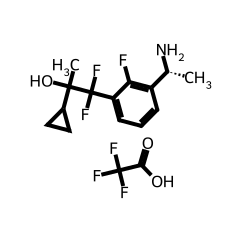 C[C@@H](N)c1cccc(C(F)(F)C(C)(O)C2CC2)c1F.O=C(O)C(F)(F)F